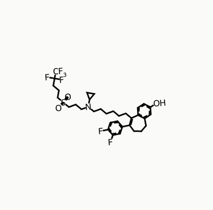 O=S(=O)(CCCN(CCCCCCC1=C(c2ccc(F)c(F)c2)CCCc2cc(O)ccc21)C1CC1)CCCC(F)(F)C(F)(F)F